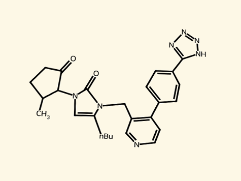 CCCCc1cn(C2C(=O)CCC2C)c(=O)n1Cc1cnccc1-c1ccc(-c2nnn[nH]2)cc1